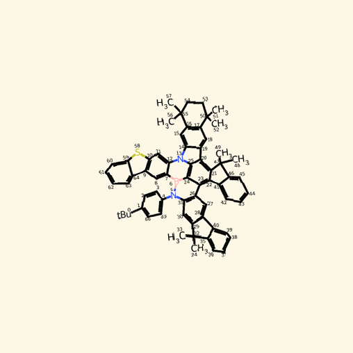 CC(C)(C)c1ccc(N2B3c4cc5c(cc4-n4c6cc7c(cc6c6c8c(c(c3c64)-c3cc4c(cc32)C(C)(C)c2ccccc2-4)-c2ccccc2C8(C)C)C(C)(C)CCC7(C)C)sc2ccccc25)cc1